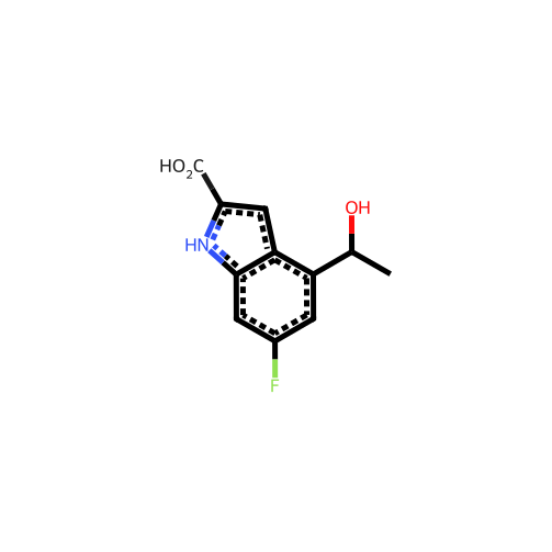 CC(O)c1cc(F)cc2[nH]c(C(=O)O)cc12